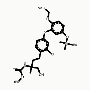 COCOc1ccc(O[Si](C)(C)C(C)(C)C)cc1Sc1ccc(CCC(C)(CO)NC(=O)OC(C)(C)C)c(Cl)c1